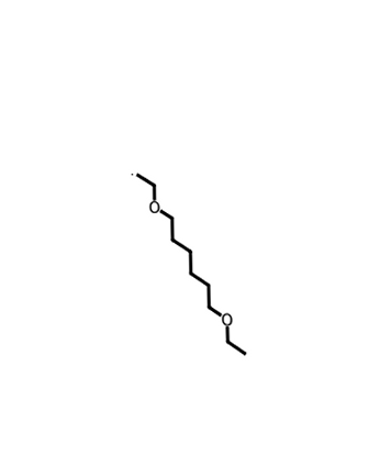 [CH2]COCCCCCCOCC